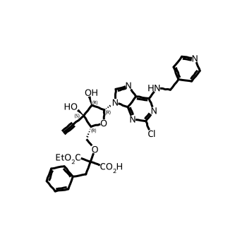 C#C[C@@]1(O)[C@@H](COC(Cc2ccccc2)(C(=O)O)C(=O)OCC)O[C@@H](n2cnc3c(NCc4ccncc4)nc(Cl)nc32)[C@@H]1O